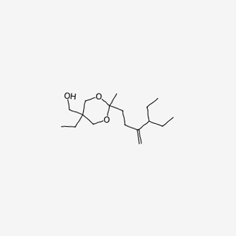 C=C(CCC1(C)OCC(CC)(CO)CO1)C(CC)CC